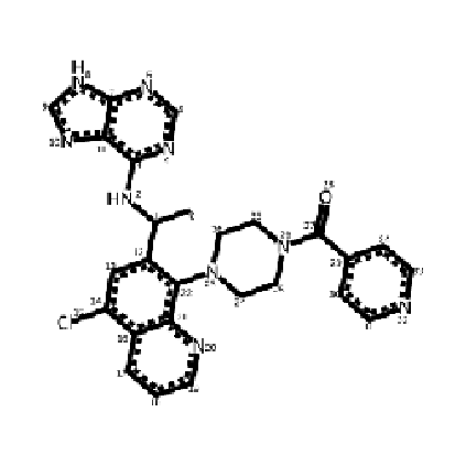 CC(Nc1ncnc2[nH]cnc12)c1cc(Cl)c2cccnc2c1N1CCN(C(=O)c2ccncc2)CC1